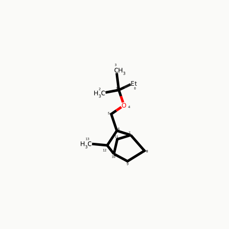 CCC(C)(C)OCC1C2CCC(C2)C1C